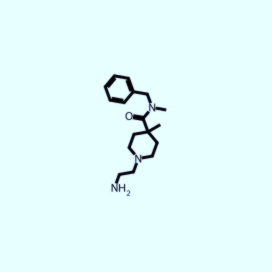 CN(Cc1ccccc1)C(=O)C1(C)CCN(CCN)CC1